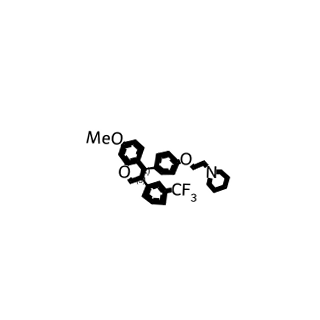 COc1ccc2c(c1)OC[C@H](c1cccc(C(F)(F)F)c1)[C@@H]2c1ccc(OCCN2CCCCC2)cc1